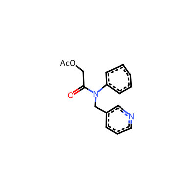 CC(=O)OCC(=O)N(Cc1cccnc1)c1ccccc1